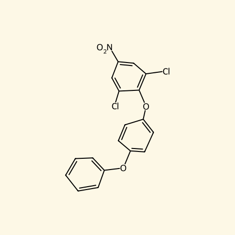 O=[N+]([O-])c1cc(Cl)c(Oc2ccc(Oc3ccccc3)cc2)c(Cl)c1